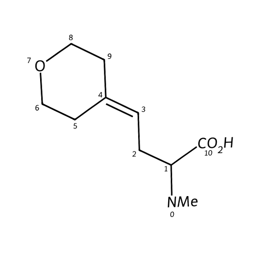 CNC(CC=C1CCOCC1)C(=O)O